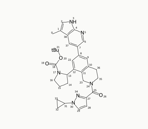 Cc1c[nH]c2ncc(-c3cc4c(c(C5CCCN5C(=O)OC(C)(C)C)c3)CN(C(=O)c3ccn(C5CC5)n3)CC4)cc12